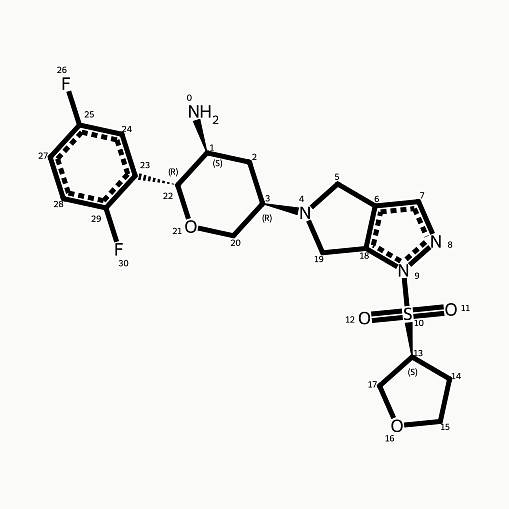 N[C@H]1C[C@@H](N2Cc3cnn(S(=O)(=O)[C@H]4CCOC4)c3C2)CO[C@@H]1c1cc(F)ccc1F